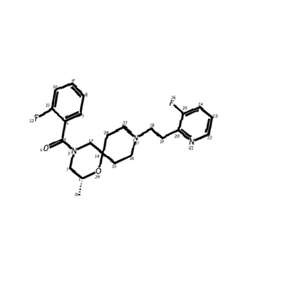 C[C@@H]1CN(C(=O)c2ccccc2F)CC2(CCN(CCc3ncccc3F)CC2)O1